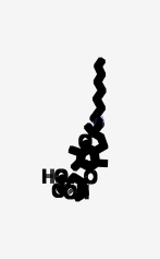 CCCCCCC/C=C/C1(C)CCc2c(C)c(OC(CC)CP(=O)(O)O)c(C)c(C)c2O1